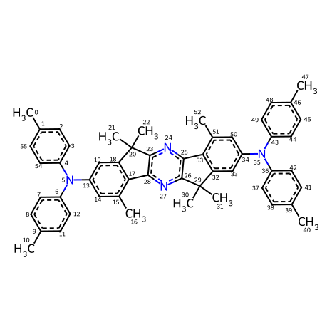 Cc1ccc(N(c2ccc(C)cc2)c2cc(C)c3c(c2)C(C)(C)c2nc4c(nc2-3)C(C)(C)c2cc(N(c3ccc(C)cc3)c3ccc(C)cc3)cc(C)c2-4)cc1